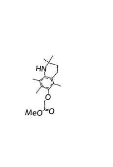 COC(=O)COc1c(C)c(C)c2c(c1C)CCC(C)(C)N2